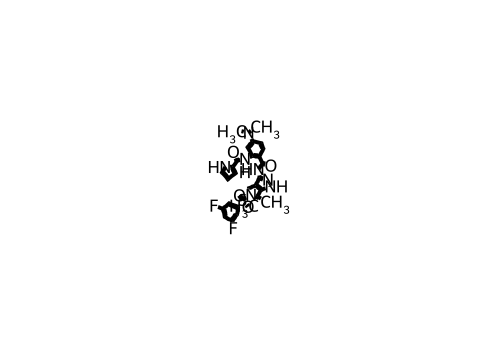 CN(C)c1ccc(C(=O)Nc2n[nH]c3c2CN(S(=O)(=O)c2cc(F)cc(F)c2)C3(C)C)c(NC(=O)c2ccc[nH]2)c1